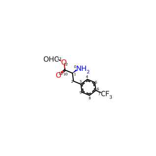 N[C@@H](Cc1ccc(C(F)(F)F)cc1)C(=O)OC=O